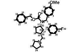 COc1ccc(CN(C(=O)OCc2ccccc2)[C@H]2CC[C@H](CN3CCCC3)[C@H]2c2ccc(F)cc2)cc1